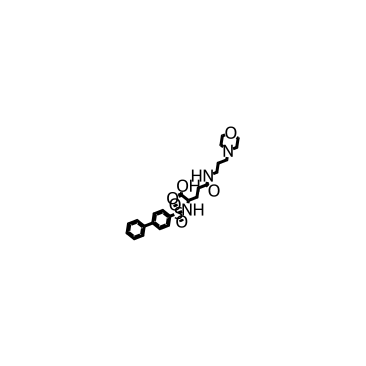 O=C(CCC(NS(=O)(=O)c1ccc(-c2ccccc2)cc1)C(=O)O)NCCCN1CCOCC1